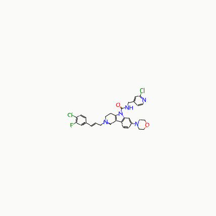 O=C(NCc1ccnc(Cl)c1)n1c2c(c3ccc(N4CCOCC4)cc31)CN(CC=Cc1ccc(Cl)c(F)c1)CC2